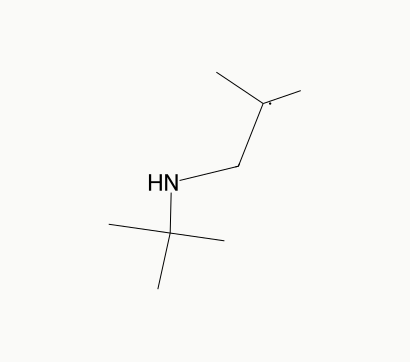 C[C](C)CNC(C)(C)C